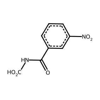 O=C(O)NC(=O)c1cccc([N+](=O)[O-])c1